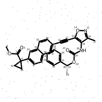 COC(=O)C1(c2ccc3cc(C#Cc4onc(C)c4NC(=O)O[C@H](C)c4ccccc4)ccc3c2)CC1